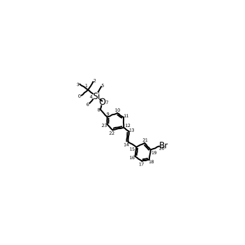 CC(C)(C)[Si](C)(C)OCc1ccc(C=Cc2cccc(Br)c2)cc1